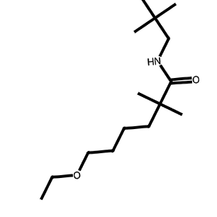 CCOCCCCC(C)(C)C(=O)NCC(C)(C)C